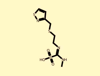 CNC(=NCCSCc1ccsn1)S(=O)(=O)O